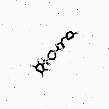 O=S(=O)(c1c(F)c(Br)cc(F)c1Br)N1CCN(c2nc(Cc3ccc(Cl)cc3)cs2)CC1